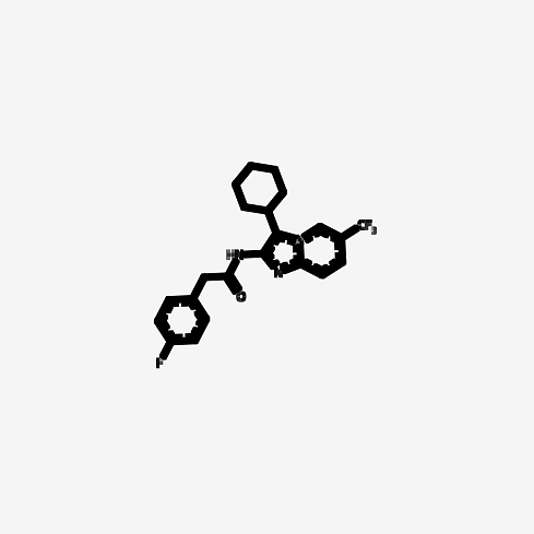 O=C(Cc1ccc(F)cc1)Nc1nc2ccc(C(F)(F)F)cn2c1C1CCCCC1